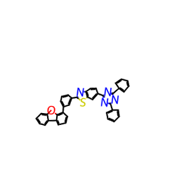 c1ccc(-c2nc(-c3ccccc3)nc(-c3ccc4nc(-c5cccc(-c6cccc7c6oc6ccccc67)c5)sc4c3)n2)cc1